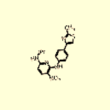 Cc1nc(-c2ccc(Nc3nc(NC(C)C)ccc3[N+](=O)[O-])cc2)cs1